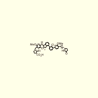 CCC1C(C(=O)O)CCN1Cc1cc(C(F)(F)F)c(N[C@H]2CCc3c(-c4cccc(-c5ccc(CNC[C@@H]6CCC(=O)N6)c(OC)n5)c4Cl)cccc32)nc1OC